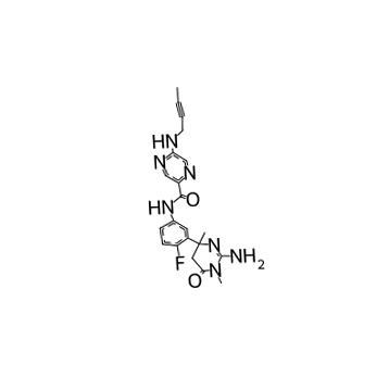 CC#CCNc1cnc(C(=O)Nc2ccc(F)c(C3(C)CC(=O)N(C)C(N)=N3)c2)cn1